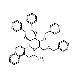 [SiH3]CCc1c([C@H]2O[C@H](COCc3ccccc3)[C@@H](OCc3ccccc3)[C@H](OCc3ccccc3)[C@@H]2OCc2ccccc2)ccc2ccccc12